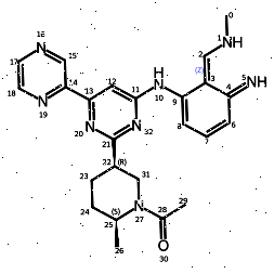 CN/C=C1\C(=N)C=CC=C1Nc1cc(-c2cnccn2)nc([C@@H]2CC[C@H](C)N(C(C)=O)C2)n1